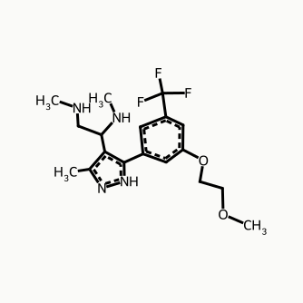 CNCC(NC)c1c(C)n[nH]c1-c1cc(OCCOC)cc(C(F)(F)F)c1